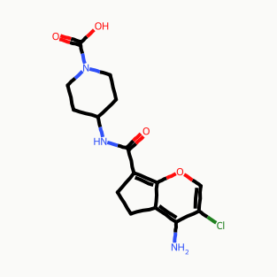 NC1=C2CCC(C(=O)NC3CCN(C(=O)O)CC3)=C2OC=C1Cl